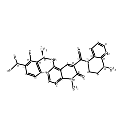 C[C@@H](Nc1ncnc2c1cc(C(=O)N1CCN(C)c3ncccc31)c(=O)n2C)c1cccc(C(F)F)c1F